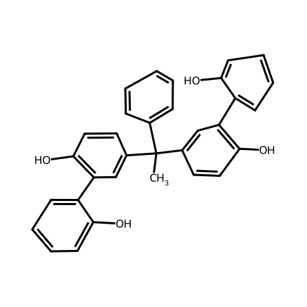 CC(c1ccccc1)(c1ccc(O)c(-c2ccccc2O)c1)c1ccc(O)c(-c2ccccc2O)c1